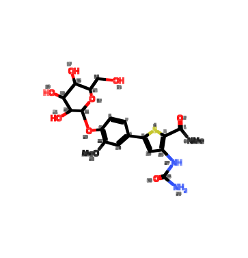 CNC(=O)c1sc(-c2ccc(OC3OC(CO)C(O)C(O)C3O)c(OC)c2)cc1NC(N)=O